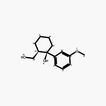 COc1cccc([C@@]2(O)CCCC[C@@H]2CO)c1